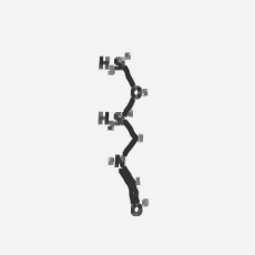 O=C=NC[SiH2]O[SiH3]